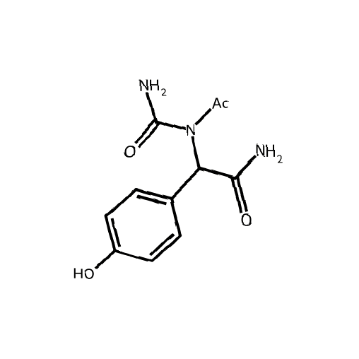 CC(=O)N(C(N)=O)C(C(N)=O)c1ccc(O)cc1